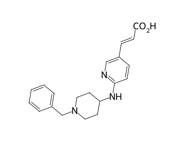 O=C(O)/C=C/c1ccc(NC2CCN(Cc3ccccc3)CC2)nc1